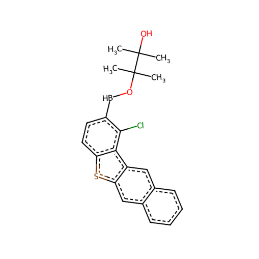 CC(C)(O)C(C)(C)OBc1ccc2sc3cc4ccccc4cc3c2c1Cl